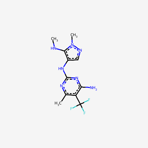 CNc1c(Nc2nc(C)c(C(F)(F)F)c(N)n2)cnn1C